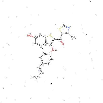 Cc1ncsc1C(=O)c1sc2cc(O)ccc2c1Oc1ccc(/C=C/C(=O)O)cc1